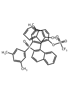 Cc1cc(C)cc(P(=O)(c2cc(C)cc(C)c2)c2ccc3ccccc3c2-c2c(OS(=O)(=O)C(F)(F)F)ccc3ccccc23)c1